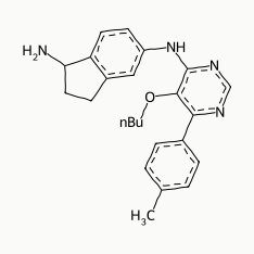 CCCCOc1c(Nc2ccc3c(c2)CCC3N)ncnc1-c1ccc(C)cc1